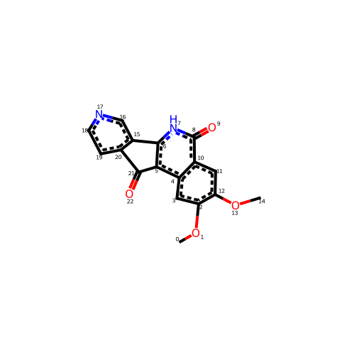 COc1cc2c3c([nH]c(=O)c2cc1OC)-c1cnccc1C3=O